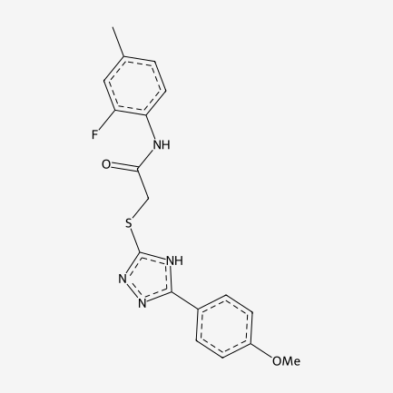 COc1ccc(-c2nnc(SCC(=O)Nc3ccc(C)cc3F)[nH]2)cc1